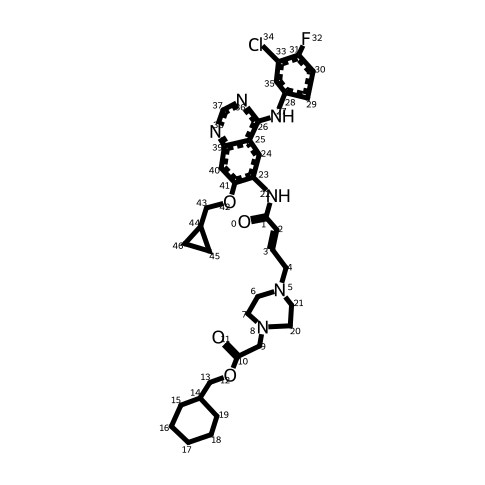 O=C(C=CCN1CCN(CC(=O)OCC2CCCCC2)CC1)Nc1cc2c(Nc3ccc(F)c(Cl)c3)ncnc2cc1OCC1CC1